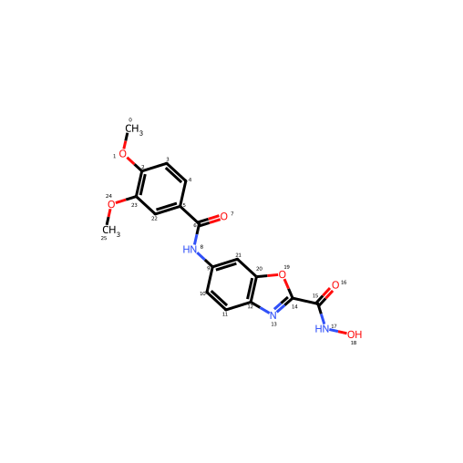 COc1ccc(C(=O)Nc2ccc3nc(C(=O)NO)oc3c2)cc1OC